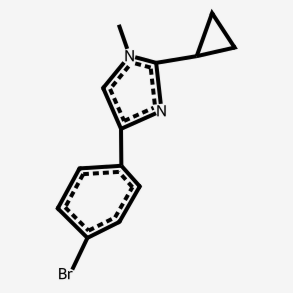 Cn1cc(-c2ccc(Br)cc2)nc1C1CC1